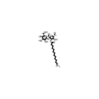 CCCCCCCCCCCCCC(=O)O[C@H]1[C@H](O)[C@@H](CCl)O[C@@]1(CCl)O[C@H]1O[C@H](CO)[C@H](Cl)[C@H](O)[C@H]1O